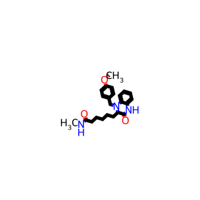 CNC(=O)CCCCCC1C(=O)Nc2ccccc2N1Cc1ccc(OC)cc1